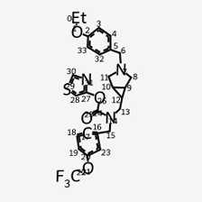 CCOc1ccc(CN2CC3C(C2)C3CN(Cc2cccc(OC(F)(F)F)c2)C(=O)Oc2cscn2)cc1